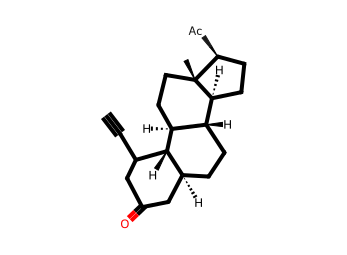 C#CC1CC(=O)C[C@@H]2CC[C@@H]3[C@H](CC[C@]4(C)[C@@H](C(C)=O)CC[C@@H]34)[C@@H]12